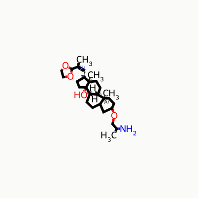 C/C(=C/[C@H]1CC[C@@]2(O)[C@@H]3CCC4CC(OCC(C)N)CC[C@]4(C)[C@H]3CC[C@]12C)C1OCCO1